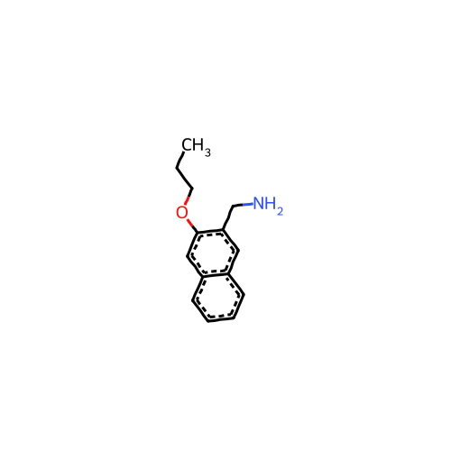 CCCOc1cc2ccccc2cc1CN